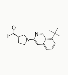 CC(C)(C)c1cccc2cc(N3CC[C@@H](C(=O)I)C3)ncc12